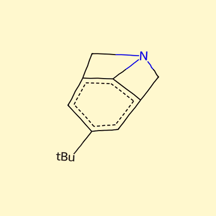 CC(C)(C)c1cc2c3c(c1)CN3C2